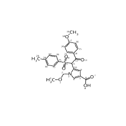 COCn1cc(C(=O)O)cc1C(C(=O)c1ccc(OC)cc1)S(=O)(=O)c1ccc(C)cc1